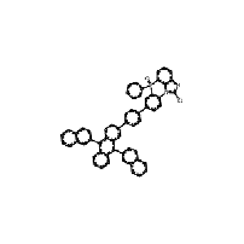 CCc1nc2cccc3c2n1-c1ccc(-c2ccc(-c4ccc5c(-c6ccc7ccccc7c6)c6ccccc6c(-c6ccc7ccccc7c6)c5c4)cc2)cc1P3(=O)c1ccccc1